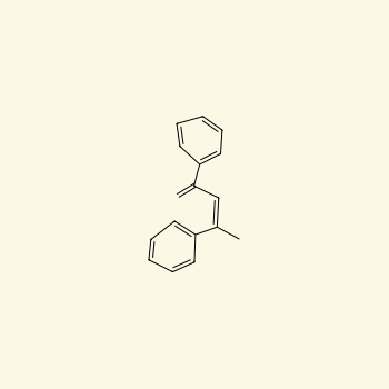 C=C(/C=C(/C)c1ccccc1)c1ccccc1